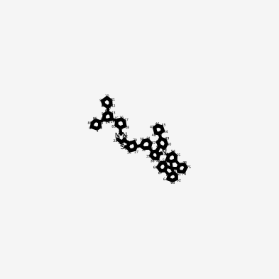 c1ccc(-c2cc(-c3ccccc3)cc(-c3cccc(-c4ncc5sc6ccc(-c7cccc(-c8cccc9c8c8cc(-c%10ccccc%10)ccc8n9-c8ccc9c(c8)C8(c%10ccccc%10-c%10ccccc%108)c8ccccc8-9)c7)cc6c5n4)c3)c2)cc1